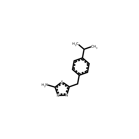 CC(C)c1ccc(Cc2nnc(N)s2)cc1